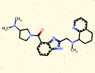 CN(C)C1CCN(C(=O)c2cccc3[nH]c(CN(C)C4CCCc5cccnc54)nc23)C1